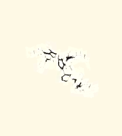 CC(C)(C)OC(=O)N1CCCC([C@H]2C[C@@H](n3cc(I)c4c(N)nc(Cl)nc43)[C@@H]3OC(C)(C)O[C@@H]32)C1